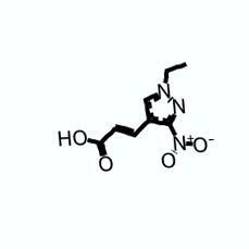 CCn1cc(C=CC(=O)O)c([N+](=O)[O-])n1